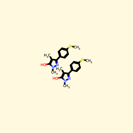 CSc1ccc(-c2nn(C)c(O)c2C)cc1.CSc1ccc(-c2nn(C)c(O)c2C)cc1